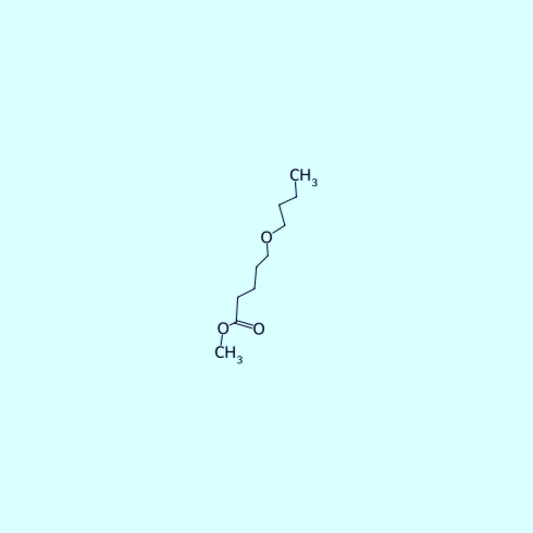 CCCCOCCCCC(=O)OC